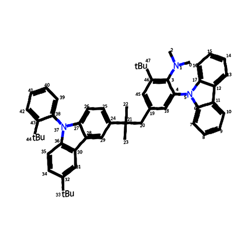 CN(C)c1c(-n2c3ccccc3c3ccccc32)cc(CC(C)(C)c2ccc3c(c2)c2cc(C(C)(C)C)ccc2n3-c2ccccc2C(C)(C)C)cc1C(C)(C)C